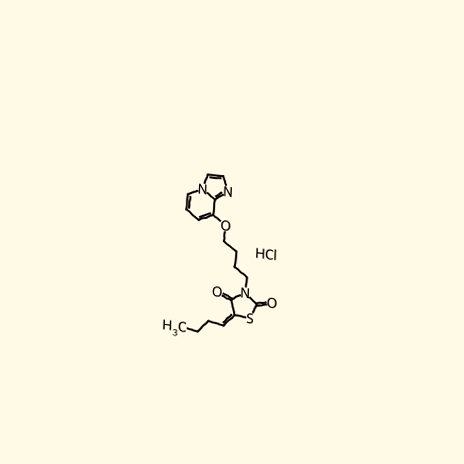 CCC/C=C1/SC(=O)N(CCCCOc2cccn3ccnc23)C1=O.Cl